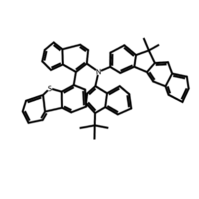 CC(C)(C)c1ccc(N(c2ccc3c(c2)-c2cc4ccccc4cc2C3(C)C)c2ccc3ccccc3c2-c2cccc3c2sc2ccccc23)c2ccccc12